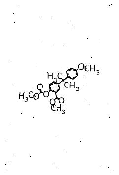 COC(=O)Oc1ccc(C(C)(C)c2ccc(OC)cc2)cc1C(=O)OC